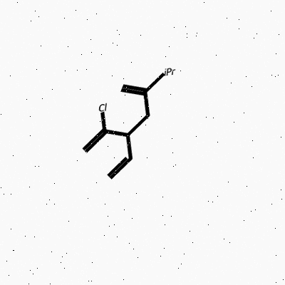 C=CC(CC(=C)C(C)C)C(=C)Cl